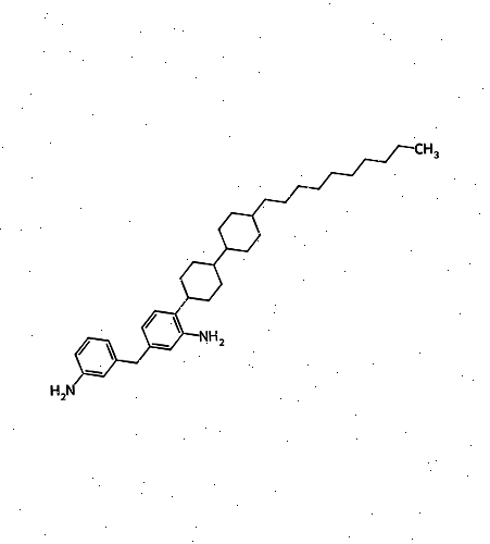 CCCCCCCCCCC1CCC(C2CCC(c3ccc(Cc4cccc(N)c4)cc3N)CC2)CC1